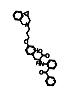 O=C(c1ccccc1)c1ccccc1N[C@@H](Cc1ccc(OCCCN(Cc2ccccc2)CC2CC2)cc1)C(=O)O